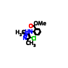 COC(=O)c1ccccc1Nc1c(Cl)c(C)nn1C